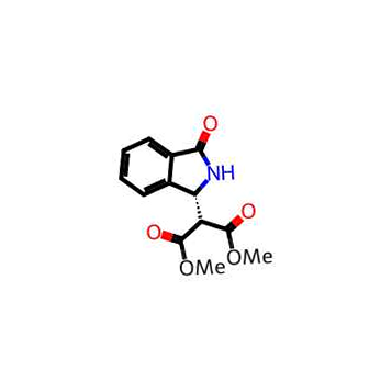 COC(=O)C(C(=O)OC)[C@H]1NC(=O)c2ccccc21